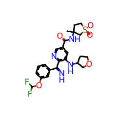 CC1(NC(=O)c2cnc(C(=N)c3cccc(OC(F)F)c3)c(NC3CCOC3)c2)CCS(=O)(=O)C1